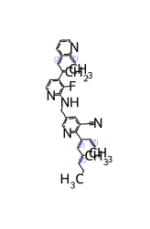 C=C(/C=c1/cccn/c1=C/C)c1ccnc(NCc2cnc(C(/C=C\C)=C/C(C)=C/CC)c(C#N)c2)c1F